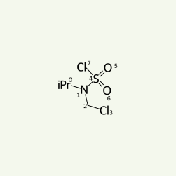 CC(C)N(CCl)S(=O)(=O)Cl